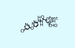 CCCCC[C@@H](CN(O)C=O)C(=O)NNc1ccc(Oc2cncc(Cl)c2)nn1